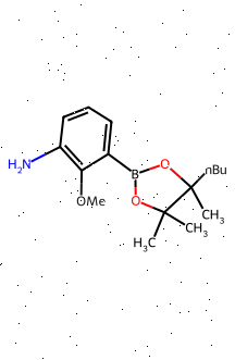 CCCCC1(C)OB(c2cccc(N)c2OC)OC1(C)C